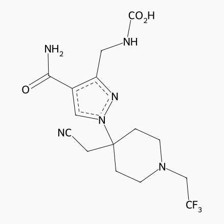 N#CCC1(n2cc(C(N)=O)c(CNC(=O)O)n2)CCN(CC(F)(F)F)CC1